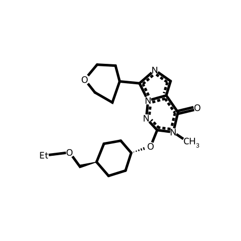 CCOC[C@H]1CC[C@H](Oc2nn3c(C4CCOCC4)ncc3c(=O)n2C)CC1